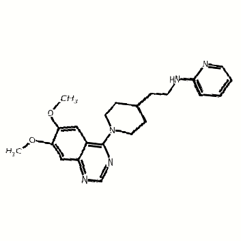 COc1cc2ncnc(N3CCC(CCNc4ccccn4)CC3)c2cc1OC